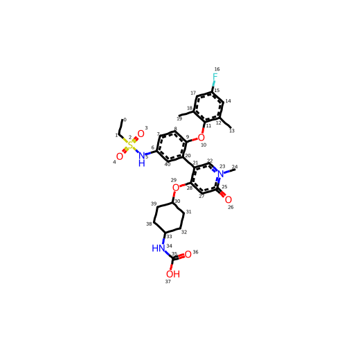 CCS(=O)(=O)Nc1ccc(Oc2c(C)cc(F)cc2C)c(-c2cn(C)c(=O)cc2OC2CCC(NC(=O)O)CC2)c1